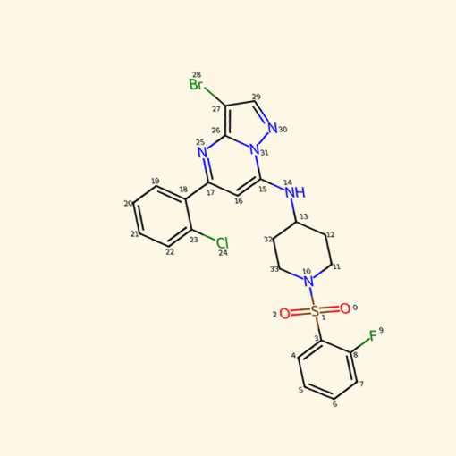 O=S(=O)(c1ccccc1F)N1CCC(Nc2cc(-c3ccccc3Cl)nc3c(Br)cnn23)CC1